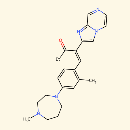 CCC(=O)/C(=C\c1ccc(N2CCCN(C)CC2)cc1C)c1cn2ccncc2n1